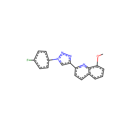 COc1cccc2ccc(-c3cn(-c4ccc(F)cc4)nn3)nc12